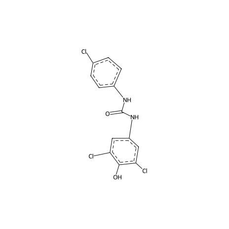 O=C(Nc1ccc(Cl)cc1)Nc1cc(Cl)c(O)c(Cl)c1